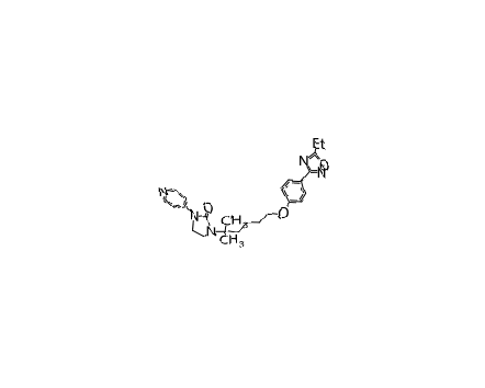 CCc1nc(-c2ccc(OCCCCC(C)(C)N3CCN(c4ccncc4)C3=O)cc2)no1